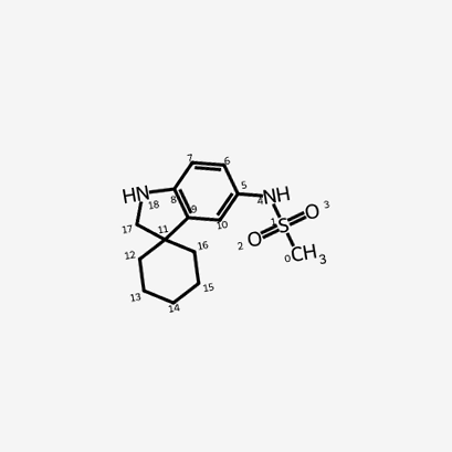 CS(=O)(=O)Nc1ccc2c(c1)C1(CCCCC1)CN2